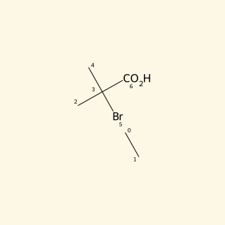 CC.CC(C)(Br)C(=O)O